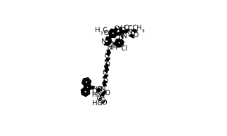 COc1cc2c(cc1-c1cncc(NCCOCCOCCOCCOCCNC(=O)[C@H](CS(=O)(=O)O)NC(=O)OCC3c4ccccc4-c4ccccc43)c1)-c1c(c(C(=O)N3CCOCC3(C)C)nn1-c1cc(Cl)cc(Cl)c1)CO2